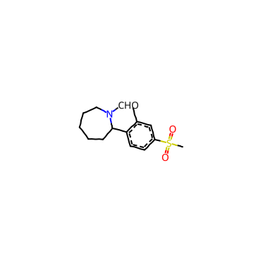 Cc1cc(S(C)(=O)=O)ccc1C1CCCCCN1C=O